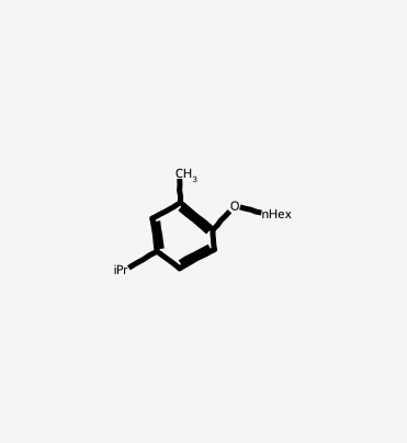 CCCCCCOc1ccc(C(C)C)cc1C